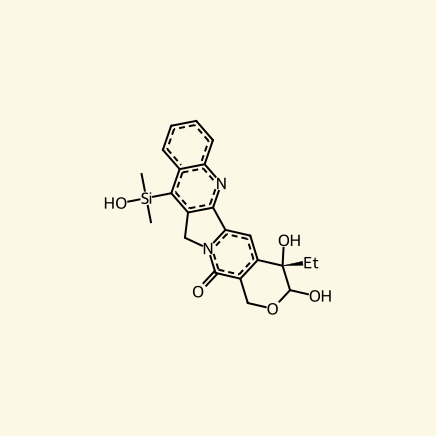 CC[C@]1(O)c2cc3n(c(=O)c2COC1O)Cc1c-3nc2ccccc2c1[Si](C)(C)O